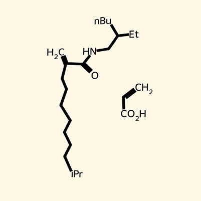 C=C(CCCCCCCC(C)C)C(=O)NCC(CC)CCCC.C=CC(=O)O